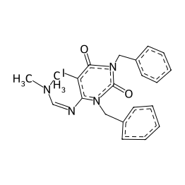 CN(C)/C=N\c1c(I)c(=O)n(Cc2ccccc2)c(=O)n1Cc1ccccc1